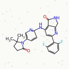 CC1(C)CCC(=O)N1c1ccc(Nc2cc(-c3c(F)cccc3F)nc3c2C(=O)NC3)nc1